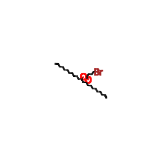 C=CCCCCCCCCCC(CCCCCCCCCC=C)OC(=O)CCCBr